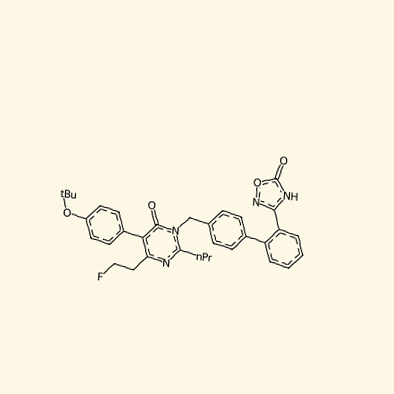 CCCc1nc(CCF)c(-c2ccc(OC(C)(C)C)cc2)c(=O)n1Cc1ccc(-c2ccccc2-c2noc(=O)[nH]2)cc1